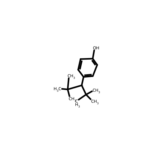 CC(C)(C)[C](c1ccc(O)cc1)C(C)(C)C